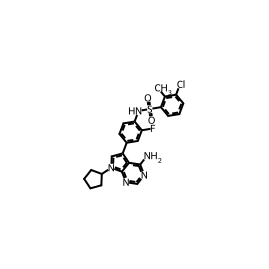 Cc1c(Cl)cccc1S(=O)(=O)Nc1ccc(-c2cn(C3CCCC3)c3ncnc(N)c23)cc1F